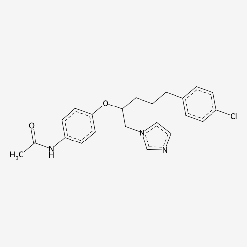 CC(=O)Nc1ccc(OC(CCCc2ccc(Cl)cc2)Cn2ccnc2)cc1